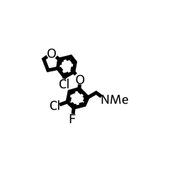 CNCc1cc(F)c(Cl)cc1Oc1ccc2c(c1Cl)CCO2